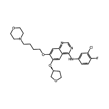 Fc1ccc(Nc2ncnc3cc(OCCCCN4CCOCC4)c(O[C@H]4CCOC4)cc23)cc1Cl